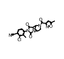 Cc1cc(C(=O)N2CC3CC2C2C(=O)N(c4ccc(C#N)c(Cl)c4C)C(=O)N32)no1